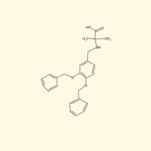 CC(C)(NCc1ccc(OCc2ccccc2)c(OCc2ccccc2)c1)C(=O)O